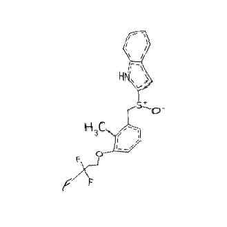 Cc1c(C[S+]([O-])c2cc3ccccc3[nH]2)cccc1OCC(F)(F)F